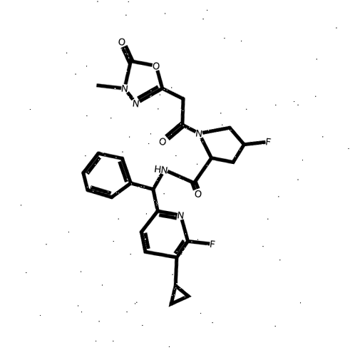 Cn1nc(CC(=O)N2CC(F)CC2C(=O)NC(c2ccccc2)c2ccc(C3CC3)c(F)n2)oc1=O